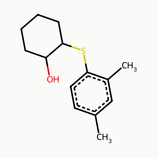 Cc1ccc(SC2CCCCC2O)c(C)c1